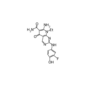 CCn1c(N)c(C(N)=O)c(=O)c2cnc(Nc3ccc(O)c(F)c3)nc21